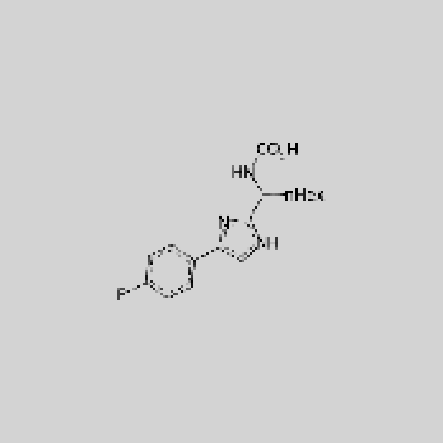 CCCCCCC(NC(=O)O)c1nc(-c2ccc(F)cc2)c[nH]1